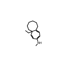 CCC12C=CC(NC)=CC=C1CCCCCC2